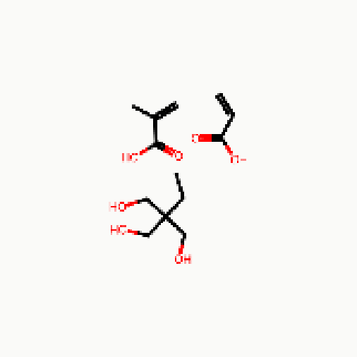 C=C(C)C(=O)O.C=CC(=O)O.CCC(CO)(CO)CO